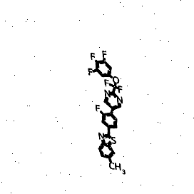 Cc1ccc2nc(-c3ccc(-c4cnc(C(F)(F)Oc5cc(F)c(F)c(F)c5)nc4)c(F)c3)sc2c1